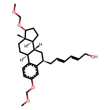 COCOc1ccc2c(c1)[C@H](C/C=C/C=C/CO)C[C@@H]1[C@@H]2CC[C@]2(C)[C@@H](OCOC)CC[C@@H]12